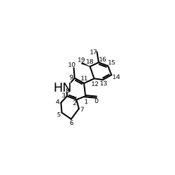 C=C1C2=C(CCCC2)NC(C)=C1C1C=CC=C(C)[C@@H]1C